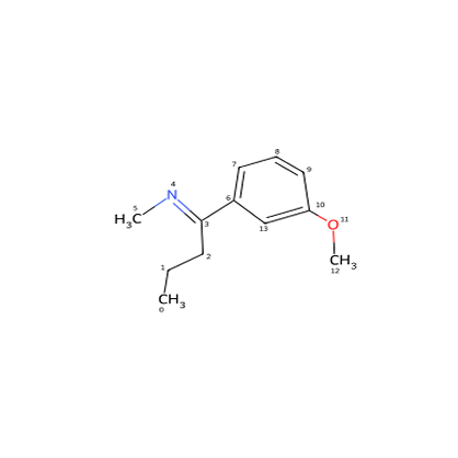 CCC/C(=N\C)c1cccc(OC)c1